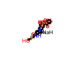 CC1(C)C(=CC=CC=C2C(=O)c3ccccc3S2(O)O)N(CCCS(=O)(=O)O)c2ccc(NC(=O)CSCCO)cc21.[NaH]